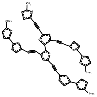 CCCCCCc1ccc(-c2ccc(C#Cc3cc(C#Cc4ccc(-c5ccc(CCCCCC)s5)s4)c(-c4sc(C#Cc5ccc(C)s5)cc4C#Cc4ccc(-c5ccc(CCCCCC)s5)s4)s3)s2)s1